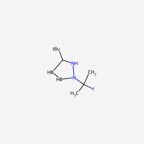 CC(C)(C)C1BBN(C(C)(C)I)N1